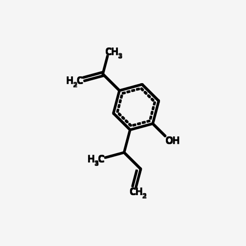 C=CC(C)c1cc(C(=C)C)ccc1O